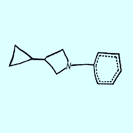 c1ccc(N2CC(C3CC3)C2)cc1